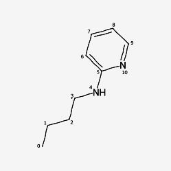 CCC[CH]Nc1ccccn1